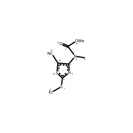 CCSc1nc(N(C)C(=O)OC)c(C#N)s1